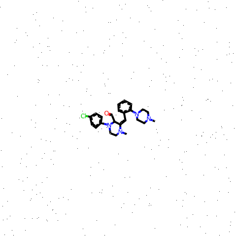 CN1CCN(c2ccccc2C=C2C(C=O)N(c3ccc(Cl)cc3)CCN2C)CC1